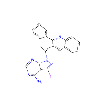 CC(c1cc2ccccc2nc1-c1ccccc1)N1N=C(I)C2C(N)=NC=NC21